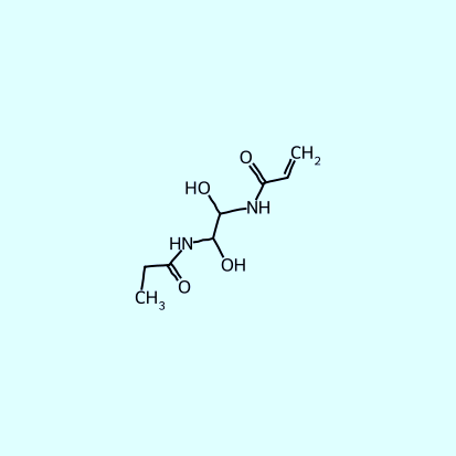 C=CC(=O)NC(O)C(O)NC(=O)CC